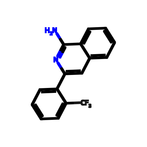 Nc1nc(-c2ccccc2C(F)(F)F)cc2ccccc12